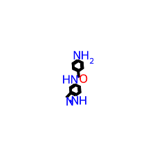 Nc1ccc(C(=O)Nc2ccc3[nH]ncc3c2)cc1